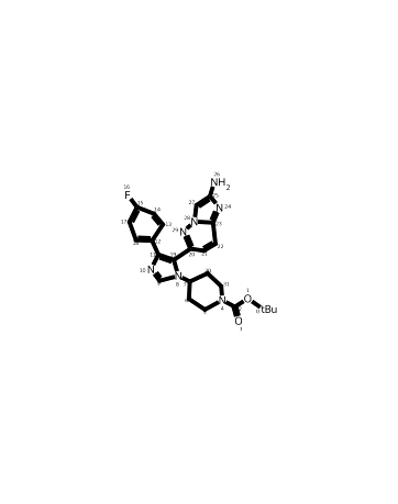 CC(C)(C)OC(=O)N1CCC(n2cnc(-c3ccc(F)cc3)c2-c2ccc3nc(N)cn3n2)CC1